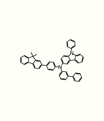 CC1(C)c2ccccc2-c2ccc(-c3ccc(N(c4cccc(-c5ccccc5)c4)c4ccc5c(c4)c4ccccc4n5-c4ccccc4)cc3)cc21